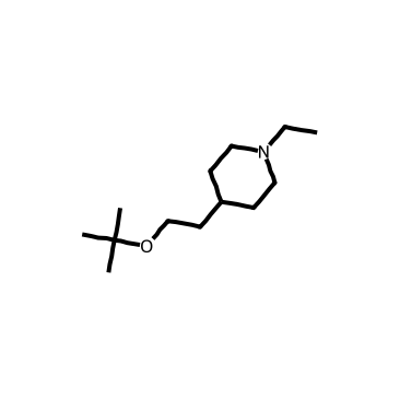 CCN1CCC(CCOC(C)(C)C)CC1